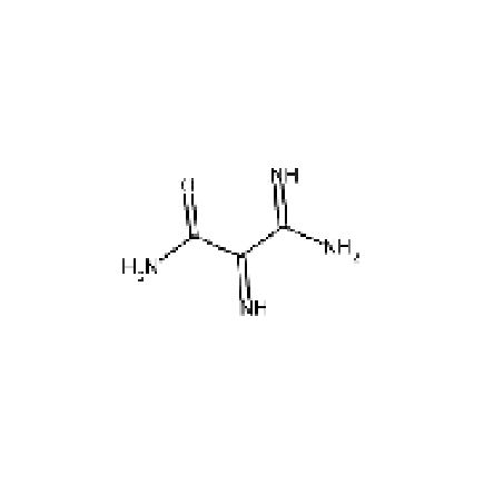 N=C(N)C(=N)C(N)=O